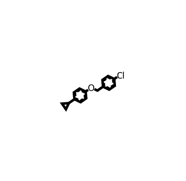 Clc1ccc(COc2ccc(C3CC3)cc2)cc1